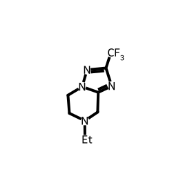 CCN1CCn2nc(C(F)(F)F)nc2C1